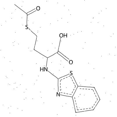 CC(=O)SCCC(Nc1nc2ccccc2s1)C(=O)O